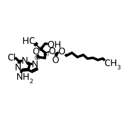 C#C[C@]1(CO)O[C@@H](n2ccc3c(N)nc(Cl)nc32)C[C@@H]1OC(=O)OCCCCCCCCC